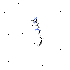 CC#CCCOCCNCCCc1c[nH]cn1